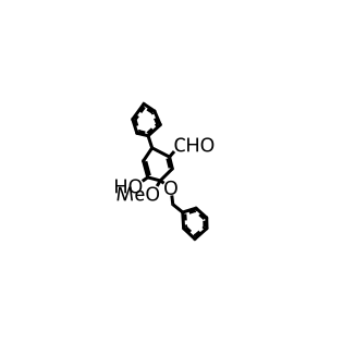 COC1(OCc2ccccc2)C=C(C=O)C(c2ccccc2)C=C1O